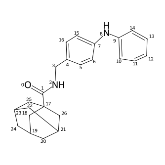 O=C(NCc1ccc(Nc2ccccc2)cc1)C12CC3CC(CC(C3)C1)C2